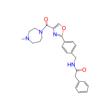 CN1CCCN(C(=O)c2coc(-c3ccc(CNC(=O)Cc4ccccc4)cc3)n2)CC1